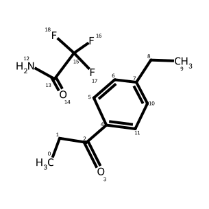 CCC(=O)c1ccc(CC)cc1.NC(=O)C(F)(F)F